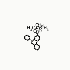 CC1(C)OB(c2ccc3c(c2)c(-c2ccccc2)cc2ccccc23)OC1(C)C